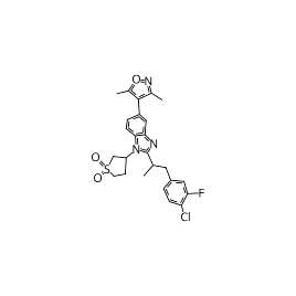 Cc1noc(C)c1-c1ccc2c(c1)nc(C(C)Cc1ccc(Cl)c(F)c1)n2C1CCS(=O)(=O)C1